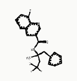 CC(Cc1ccccc1)(CC(F)(F)Cl)NC(=O)c1cnc2c(F)cccc2c1